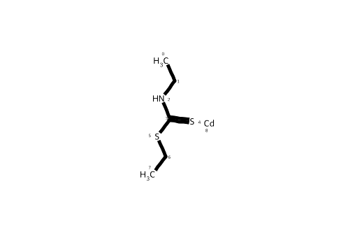 CCNC(=S)SCC.[Cd]